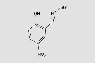 CCC/N=C/c1cc([N+](=O)[O-])ccc1O